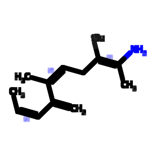 C=C(/C=C\C)/C(C)=C\C/C(=C(\C)N)C(C)(C)C